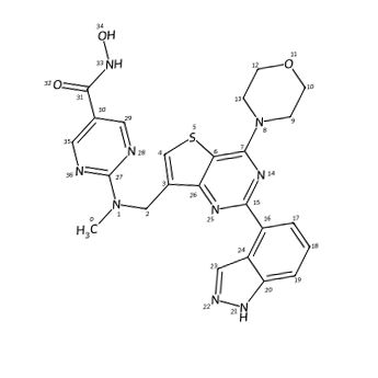 CN(Cc1csc2c(N3CCOCC3)nc(-c3cccc4[nH]ncc34)nc12)c1ncc(C(=O)NO)cn1